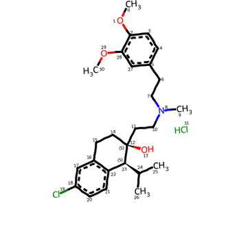 COc1ccc(CCN(C)CC[C@@]2(O)CCc3cc(Cl)ccc3[C@@H]2C(C)C)cc1OC.Cl